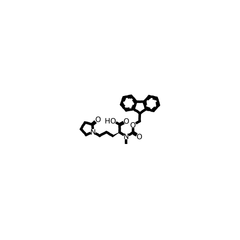 CN(C(=O)OCC1c2ccccc2-c2ccccc21)[C@@H](CCCN1CCCC1=O)C(=O)O